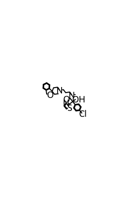 CN(CCCN1CCC2(CC1)OCc1ccccc12)C(=O)C(O)(c1ccc(Cl)cc1)c1nccs1